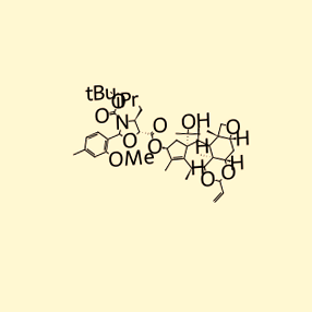 C=CC1O[C@H]2C[C@H]3OC[C@@]3(C)[C@H]3[C@H](C)[C@]4(C(C)(C)O)C[C@H](OC(=O)[C@@H]5OC(c6ccc(C)cc6OC)N(C(=O)OC(C)(C)C)[C@H]5CC(C)C)C(C)=C4[C@H](C)[C@H](O1)[C@]23C